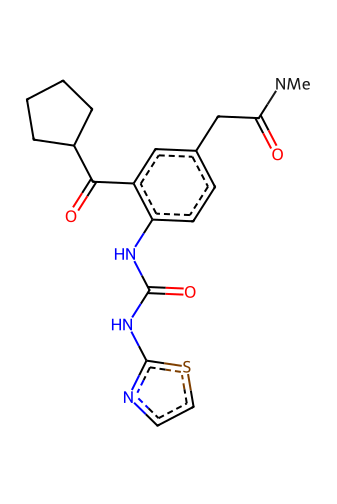 CNC(=O)Cc1ccc(NC(=O)Nc2nccs2)c(C(=O)C2CCCC2)c1